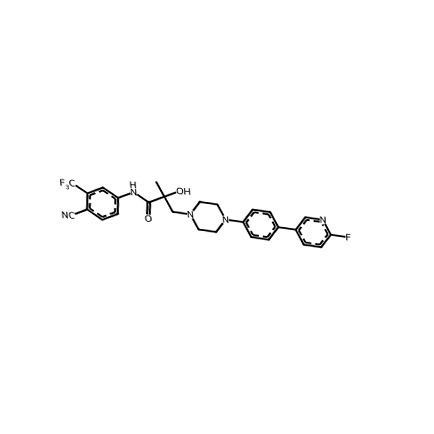 CC(O)(CN1CCN(c2ccc(-c3ccc(F)nc3)cc2)CC1)C(=O)Nc1ccc(C#N)c(C(F)(F)F)c1